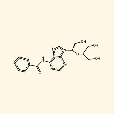 O=C(Nc1ncnc2c1ncn2[C@@H](CO)OC(CO)CO)c1ccccc1